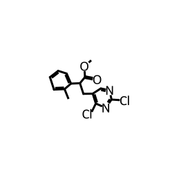 COC(=O)C(Cc1cnc(Cl)nc1Cl)c1ccccc1C